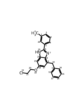 Cc1cccc(-c2nc3c(Cc4ccccc4)cc(OCCCl)cc3[nH]2)c1